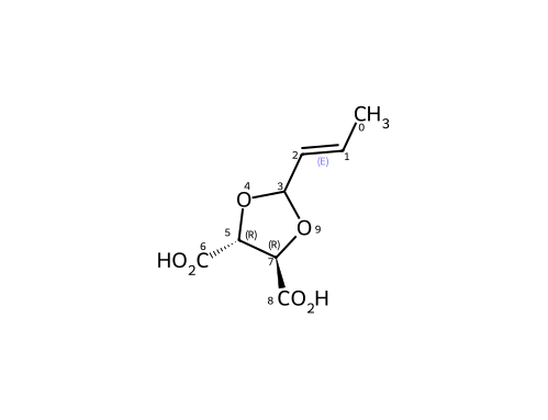 C/C=C/C1O[C@@H](C(=O)O)[C@H](C(=O)O)O1